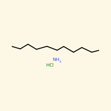 CCCCCCCCCCC.Cl.N